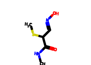 CNC(=O)C(C=NO)SC